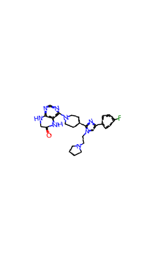 O=C1CNc2ncnc(N3CCC(c4nc(-c5ccc(F)cc5)cn4CCN4CCCC4)CC3)c2N1